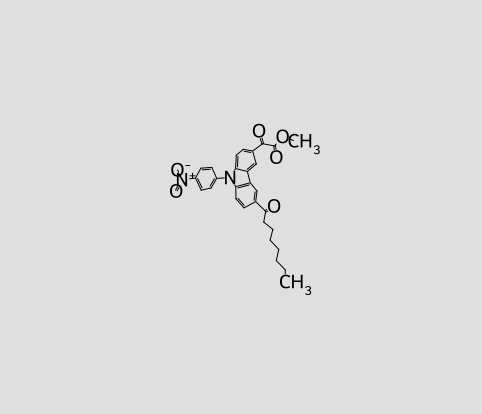 CCCCCCCC(=O)c1ccc2c(c1)c1cc(C(=O)C(=O)OC)ccc1n2-c1ccc([N+](=O)[O-])cc1